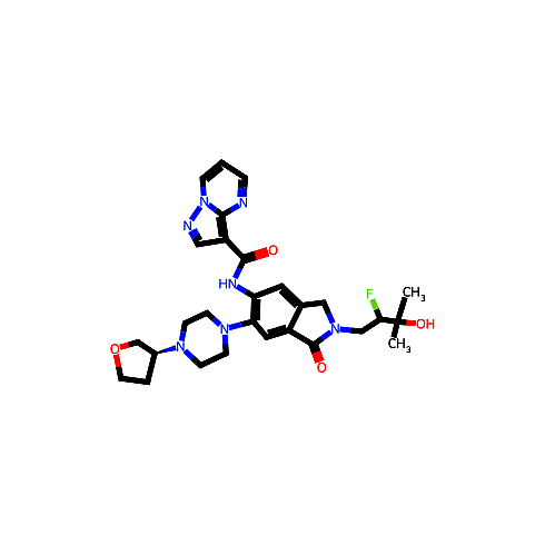 CC(C)(O)C(F)CN1Cc2cc(NC(=O)c3cnn4cccnc34)c(N3CCN([C@H]4CCOC4)CC3)cc2C1=O